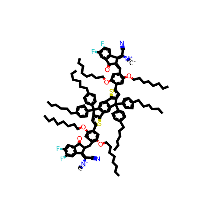 [C-]#[N+]/C(C#N)=C1\C(=C\c2cc(OCCCCCCCC)c(-c3cc4c(s3)-c3cc5c(cc3C4(c3ccc(CCCCCC)cc3)c3ccc(CCCCCC)cc3)-c3sc(-c4cc(OCCCCCCCC)c(CC6C(=O)c7cc(F)c(F)cc7/C6=C(/C#N)[N+]#[C-])cc4OCCCCCCCC)cc3C5(c3ccc(CCCCCC)cc3)c3ccc(CCCCCC)cc3)cc2OCCCCCCCC)C(=O)c2cc(F)c(F)cc21